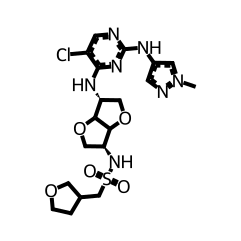 Cn1cc(Nc2ncc(Cl)c(N[C@@H]3COC4C3OC[C@@H]4NS(=O)(=O)CC3CCOC3)n2)cn1